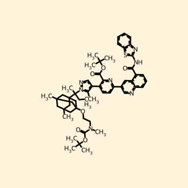 CCC(C)(n1ncc(-c2ccc(-c3cnc4cccc(C(=O)Nc5nc6ccccc6s5)c4c3)nc2C(=O)OC(C)(C)C)c1C)C12CC3(C)CC(C)(CC(OCCN(C)C(=O)OC(C)(C)C)(C3)C1)C2